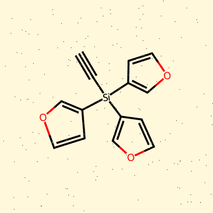 C#C[Si](c1ccoc1)(c1ccoc1)c1ccoc1